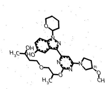 CO[C@@H]1CCN(c2cc(-c3nn(C4CCCCO4)c4ccc(O)cc34)nc(OC(C)COCCC(C)O)n2)C1